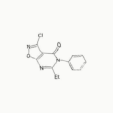 CCc1nc2onc(Cl)c2c(=O)n1-c1ccccc1